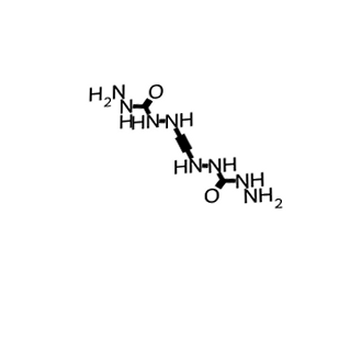 NNC(=O)NNC#CNNC(=O)NN